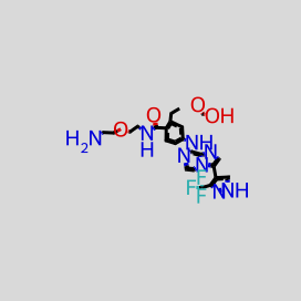 CCc1cc(Nc2nccn3c(-c4c[nH]nc4C(F)(F)F)cnc23)ccc1C(=O)NCCOCCN.O=CO